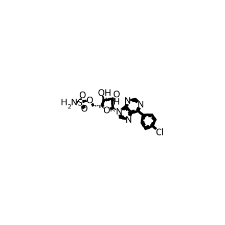 NS(=O)(=O)OC[C@H]1O[C@@H](n2cnc3c(-c4ccc(Cl)cc4)ncnc32)[C@H](O)[C@@H]1O